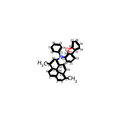 Cc1ccc2ccc3c(C)cc(N(c4ccccc4)c4cccc5c4oc4ccccc45)c4ccc1c2c34